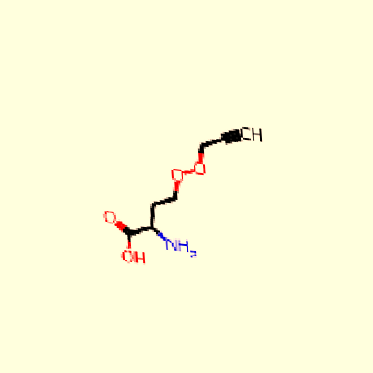 C#CCOOCCC(N)C(=O)O